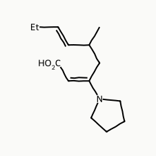 CCC=CC(C)CC(=CC(=O)O)N1CCCC1